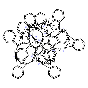 C[Si](C)(C)O[Si]1(O[Si]2(O[Si]3(O[Si](C)(C)C)n4c5c6ccccc6c4/N=C4N=C(/N=c6/c7ccccc7/c(n63)=N/C3=NC(=N\5)/c5ccccc53)c3ccccc3\4)n3c4c5ccccc5c3/N=C3N=C(/N=c5/c6ccccc6/c(n52)=N/C2=NC(=N\4)/c4ccccc42)c2ccccc2\3)n2c3c4ccccc4c2/N=C2N=C(/N=c4/c5ccccc5/c(n41)=N/C1=NC(=N\3)/c3ccccc31)c1ccccc1\2